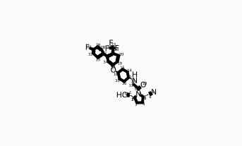 C#C[C@H]1CC[C@@H](C#N)N1C(=O)CN[C@H]1CC[C@H](Oc2ccc(C(F)(F)F)c(-c3ccc(F)cc3)c2)CC1